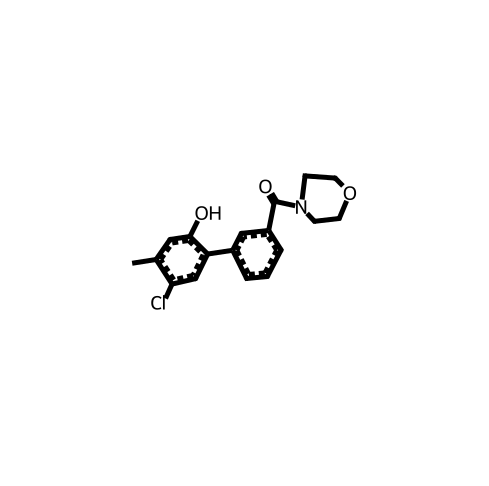 Cc1cc(O)c(-c2cccc(C(=O)N3CCOCC3)c2)cc1Cl